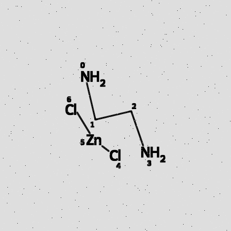 NCCN.[Cl][Zn][Cl]